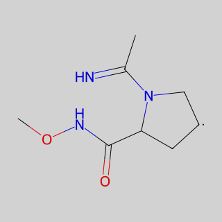 CONC(=O)C1C[CH]CN1C(C)=N